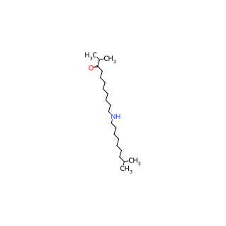 CC(C)CCCCCCCNCCCCCCCCC(=O)C(C)C